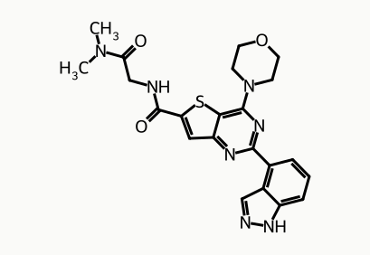 CN(C)C(=O)CNC(=O)c1cc2nc(-c3cccc4[nH]ncc34)nc(N3CCOCC3)c2s1